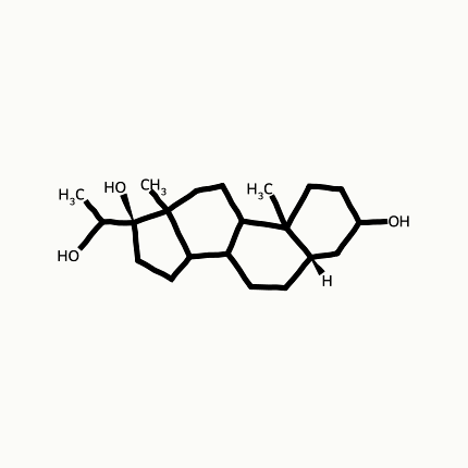 CC(O)[C@@]1(O)CCC2C3CC[C@H]4CC(O)CCC4(C)C3CCC21C